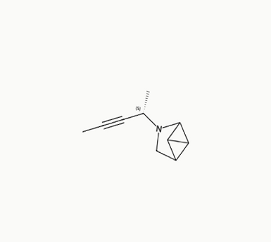 CC#C[C@H](C)N1CC2C3C2C31